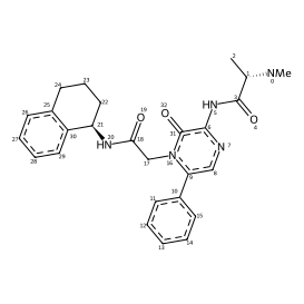 CN[C@@H](C)C(=O)Nc1ncc(-c2ccccc2)n(CC(=O)N[C@@H]2CCCc3ccccc32)c1=O